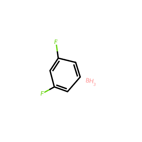 B.Fc1cccc(F)c1